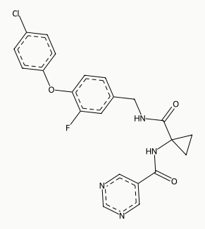 O=C(NC1(C(=O)NCc2ccc(Oc3ccc(Cl)cc3)c(F)c2)CC1)c1cncnc1